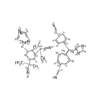 CC(C)(C#N)c1cc(Cn2cncn2)cc(C(C)(C)C#N)c1.N#Cc1ccc(C(c2ccc(C#N)cc2)n2cncn2)cc1